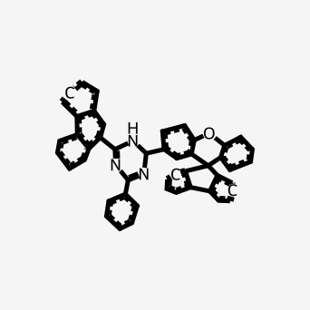 c1ccc(C2=NC(c3ccc4c(c3)C3(c5ccccc5O4)c4ccccc4-c4ccccc43)NC(c3cc4ccccc4c4ccccc34)=N2)cc1